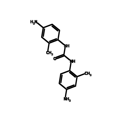 Cc1cc(N)ccc1NC(=O)Nc1ccc(N)cc1C